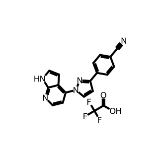 N#Cc1ccc(-c2ccn(-c3ccnc4[nH]ccc34)n2)cc1.O=C(O)C(F)(F)F